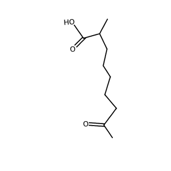 CC(=O)CCCCCC(C)C(=O)O